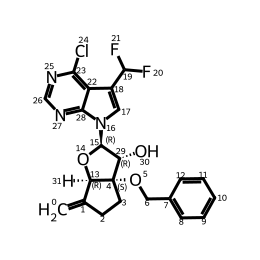 C=C1CC[C@@]2(OCc3ccccc3)[C@@H]1O[C@@H](n1cc(C(F)F)c3c(Cl)ncnc31)[C@@H]2O